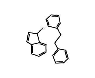 [Zr][CH]1C=Cc2ccccc21.c1ccc(CCc2ccccc2)cc1